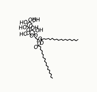 CCCCCCCCCCCCCCCCCC(=O)OCC(CO[C@H]1O[C@@H](CO)[C@H](O[C@H]2O[C@@H](CO)[C@H](O)[C@@H](O)[C@@H]2O)[C@@H](O)[C@@H]1O)OC(=O)CCCCCCCCCCCCCCCCC